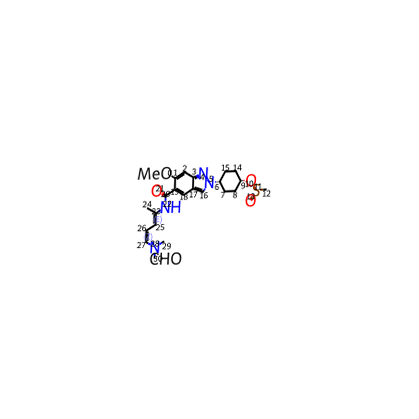 COc1cc2nn([C@H]3CC[C@@H](OS(C)=O)CC3)cc2cc1C(=O)N/C(C)=C/C=C\N(C)C=O